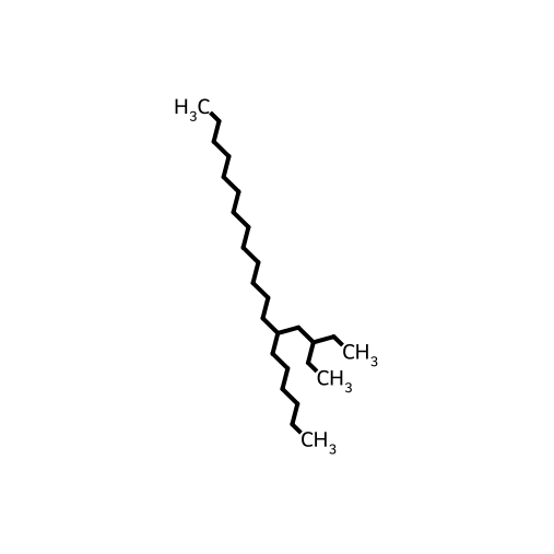 CCCCCCCCCCCCCC(CCCCCC)CC(CC)CC